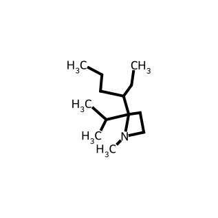 CCCC(CC)C1(C(C)C)CCN1C